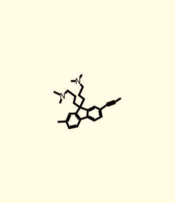 CC#Cc1ccc2c(c1)C(CCCN(C)C)(CCCN(C)C)c1cc(C)ccc1-2